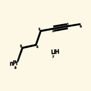 CC#CCCCCCC.[LiH]